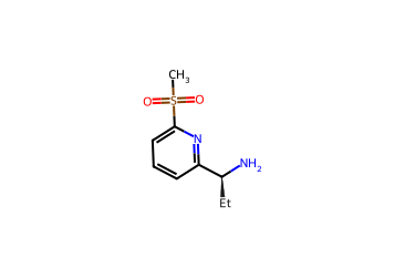 CC[C@H](N)c1cccc(S(C)(=O)=O)n1